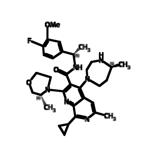 COc1cc([C@H](C)NC(=O)c2c(N3CCOC[C@H]3C)nc3c(C4CC4)nc(C)cc3c2N2CCN[C@@H](C)CC2)ccc1F